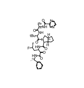 CC(C)[C@@H](NC(=O)c1cnccn1)C(=O)NC(C(=O)N1C[C@@H]2CCC[C@@H]2C1C(=O)NC(CC(F)F)C(=O)C(=O)N[C@@H](C)c1ccccc1)C(C)(C)C